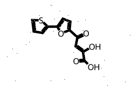 O=C(O)C(O)=CC(=O)c1ccc(-c2cccs2)o1